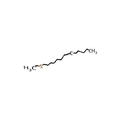 C[CH]SCCCCCCCCCCCCCC